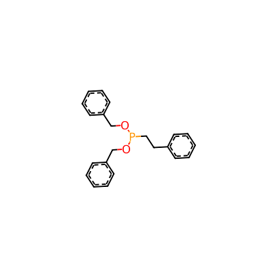 c1ccc(CCP(OCc2ccccc2)OCc2ccccc2)cc1